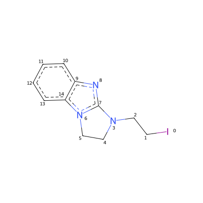 ICCN1CCn2c1nc1ccccc12